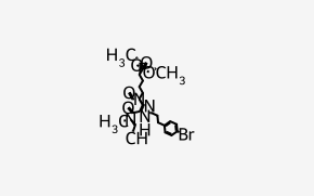 C#CCN(C)C(=O)c1[nH]c(CCc2ccc(Br)cc2)nc1N(C=O)CCCCP(=O)(OCC)OCC